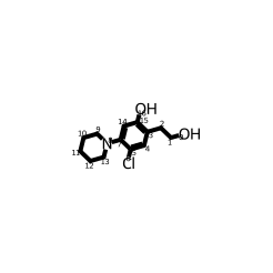 OCCc1cc(Cl)c(N2CCCCC2)cc1O